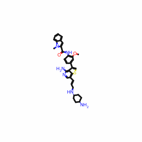 COc1cc(-c2csc3c(C=CCN[C@H]4CC[C@H](N)CC4)cnc(N)c23)ccc1NC(=O)c1cc2ccccc2n1C